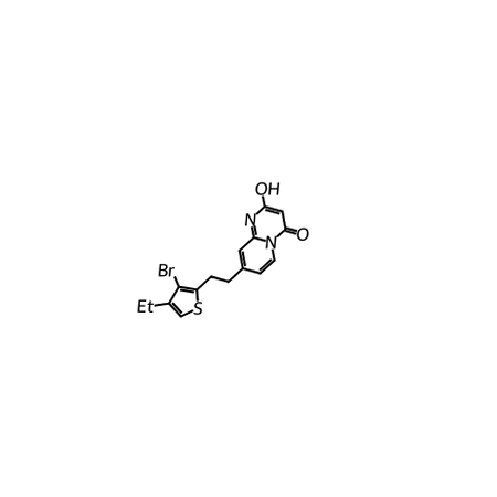 CCc1csc(CCc2ccn3c(=O)cc(O)nc3c2)c1Br